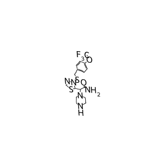 NC(=O)C(C1SC=NN1SCc1ccc(OC(F)(F)F)cc1)N1CCNCC1